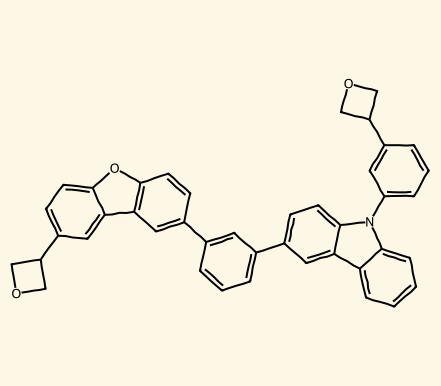 c1cc(-c2ccc3oc4ccc(C5COC5)cc4c3c2)cc(-c2ccc3c(c2)c2ccccc2n3-c2cccc(C3COC3)c2)c1